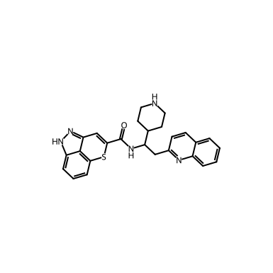 O=C(NC(Cc1ccc2ccccc2n1)C1CCNCC1)C1=Cc2n[nH]c3cccc(c23)S1